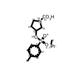 C[C](C)C.Cc1ccc(S(=O)(=O)OC2CCN(C(=O)O)C2)cc1